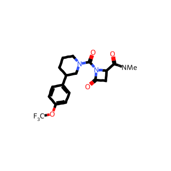 CNC(=O)C1CC(=O)N1C(=O)N1CCCC(c2ccc(OC(F)(F)F)cc2)C1